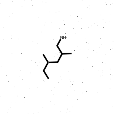 CCC(C)CC(C)C[NH]